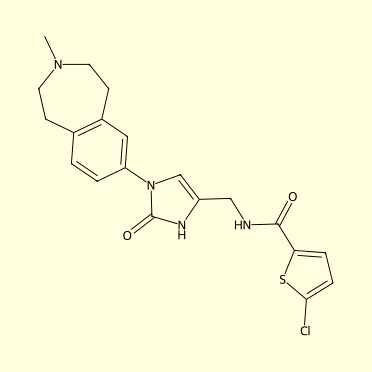 CN1CCc2ccc(-n3cc(CNC(=O)c4ccc(Cl)s4)[nH]c3=O)cc2CC1